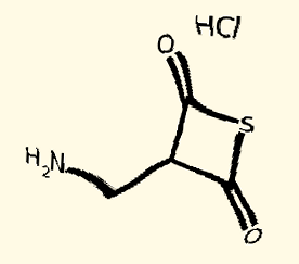 Cl.NCC1C(=O)SC1=O